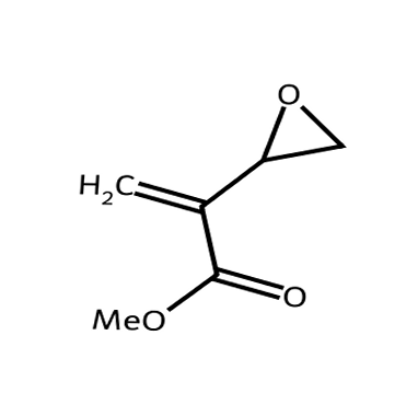 C=C(C(=O)OC)C1CO1